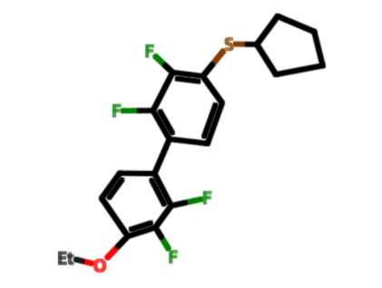 CCOc1ccc(-c2ccc(SC3CCCC3)c(F)c2F)c(F)c1F